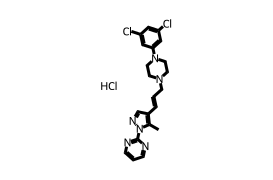 Cc1c(C=CCN2CCN(c3cc(Cl)cc(Cl)c3)CC2)cnn1-c1ncccn1.Cl